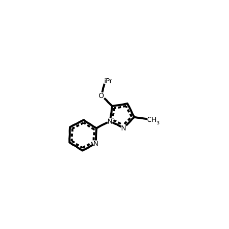 Cc1cc(OC(C)C)n(-c2ccccn2)n1